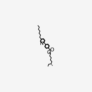 CCCCCCCc1ccc(-c2ccc(C(=O)OCCCCC[C@@H](C)CC)cc2)nc1